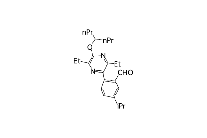 CCCC(CCC)Oc1nc(CC)c(-c2ccc(C(C)C)cc2C=O)nc1CC